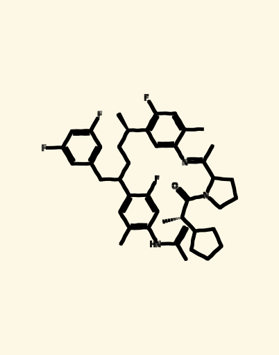 C=C(C)Nc1cc(F)c(C(CC[C@@H](C)c2cc(/N=C(\C)C3CCCN3C(=O)[C@@H](C)C3CCCC3)c(C)cc2F)Cc2cc(F)cc(F)c2)cc1C